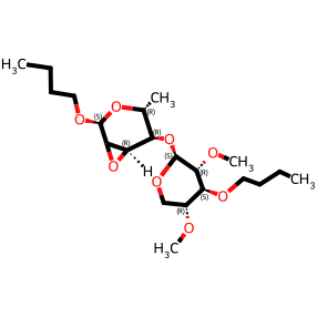 CCCCO[C@H]1O[C@H](C)[C@@H](O[C@@H]2OC[C@@H](OC)[C@H](OCCCC)[C@H]2OC)[C@H]2OC12